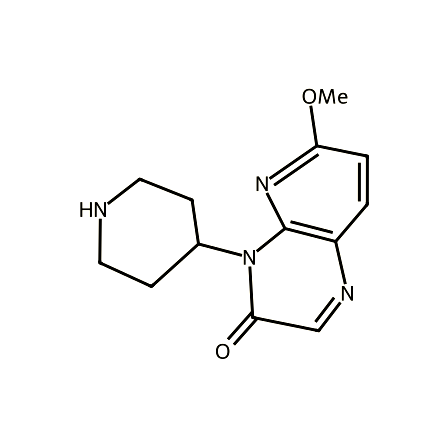 COc1ccc2ncc(=O)n(C3CCNCC3)c2n1